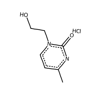 Cc1ccn(CCO)c(=O)n1.Cl